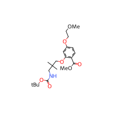 COCCOc1ccc(C(=O)OC)c(OCC(C)(C)CNC(=O)OC(C)(C)C)c1